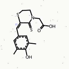 Cc1cc(/C=C2/SCCN(CC(=O)O)C2=S)cc(C)c1O